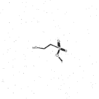 O=S(=O)(CCO)OI